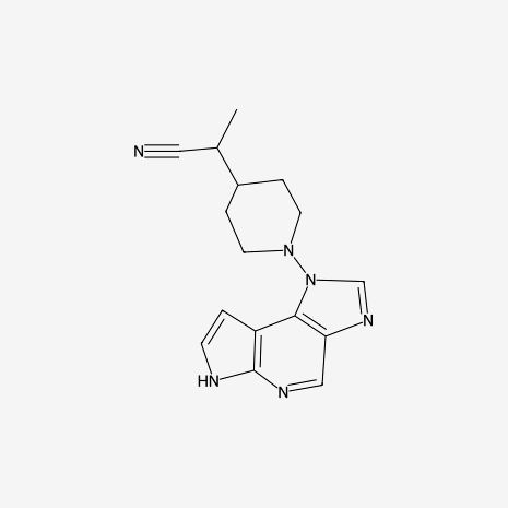 CC(C#N)C1CCN(n2cnc3cnc4[nH]ccc4c32)CC1